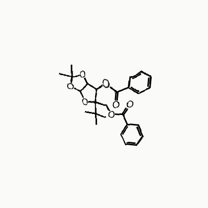 CC1(C)OC2OC(COC(=O)c3ccccc3)(C(C)(C)C)C(OC(=O)c3ccccc3)C2O1